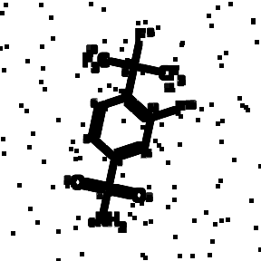 NS(=O)(=O)c1ccc(C(F)(C(F)(F)F)C(F)(F)F)c(F)c1